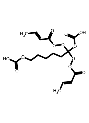 CC=CC(=O)OOC(CCCCCOC(=O)O)(OOC(=O)C=CC)OC(=O)O